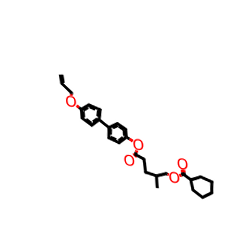 C=CCOc1ccc(-c2ccc(OC(=O)CCC(C)COC(=O)C3CCCCC3)cc2)cc1